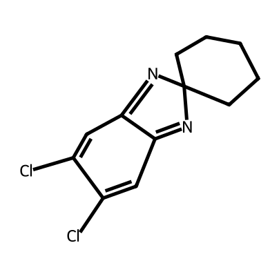 Clc1cc2c(cc1Cl)=NC1(CCCCC1)N=2